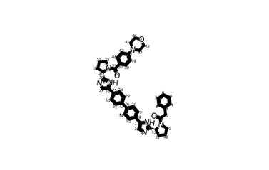 O=C(Cc1ccccc1)N1CCC[C@H]1c1ncc(-c2ccc(-c3ccc(-c4cnc([C@@H]5CCCN5C(=O)c5ccc(N6CCOCC6)cc5)[nH]4)cc3)cc2)[nH]1